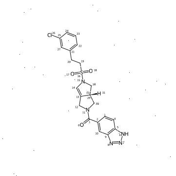 O=C(c1ccc2[nH]nnc2c1)N1CC2=CN(S(=O)(=O)CCc3cccc(Cl)c3)C[C@@H]2C1